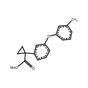 COC(=O)C1(c2cccc(Oc3cccc(C)c3)c2)CC1